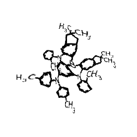 Cc1ccc(N(c2ccc(C)cc2)c2cc3c4c(c2)N(c2ccccc2C)c2cc5c(cc2B4c2cc4c(cc2N3c2ccccc2C)CC(C)(C)C4)CC(C)(C)C5)cc1